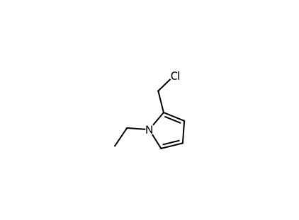 CCn1cccc1CCl